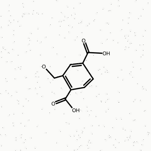 [O]Cc1cc(C(=O)O)ccc1C(=O)O